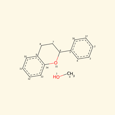 CO.c1ccc(C2CCc3ccccc3O2)cc1